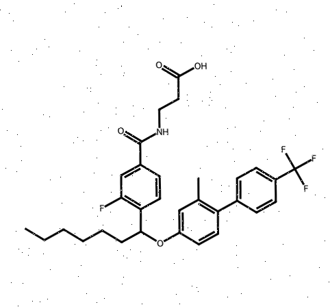 CCCCCCC(Oc1ccc(-c2ccc(C(F)(F)F)cc2)c(C)c1)c1ccc(C(=O)NCCC(=O)O)cc1F